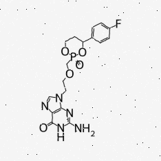 Nc1nc2c(ncn2CCOCP2(=O)OCCC(c3ccc(F)cc3)O2)c(=O)[nH]1